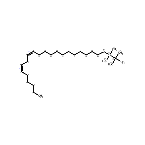 CCCCC/C=C\C/C=C\CCCCCCCC[CH]CCO[Si](C)(C)C(C)(C)C